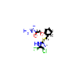 NNC(=O)COc1ccccc1CSc1nc(Cl)c(Cl)[nH]1